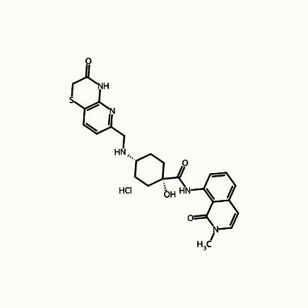 Cl.Cn1ccc2cccc(NC(=O)[C@]3(O)CC[C@@H](NCc4ccc5c(n4)NC(=O)CS5)CC3)c2c1=O